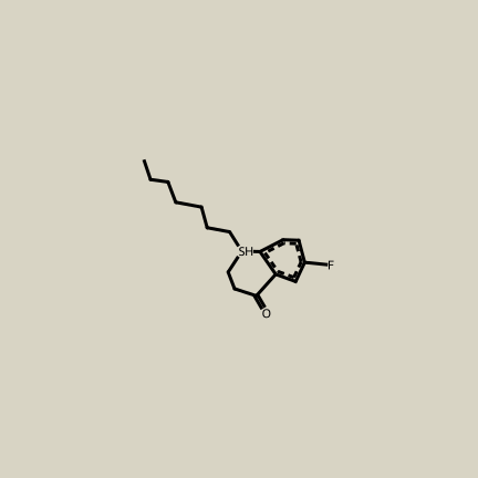 CCCCCCC[SH]1CCC(=O)c2cc(F)ccc21